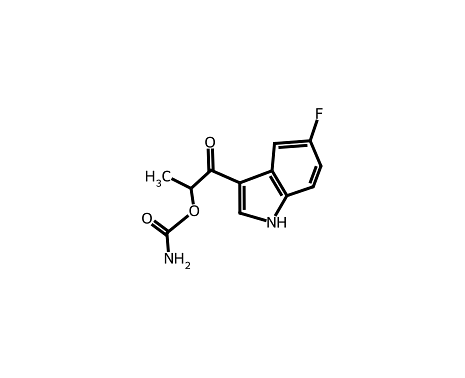 CC(OC(N)=O)C(=O)c1c[nH]c2ccc(F)cc12